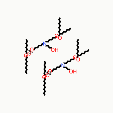 CCCCCCCCCOC(CCCCCCC)O[Si](C)(C)OCCCCCCN(CCCCO)CCCCCCOC(=O)C(CCCCCC)CCCCCCCC.CCCCCCCCCOC(CCCCCCC)O[Si](C)(C)OCCCCCCN(CCCCO)CCCCCCOC(=O)C(CCCCCC)CCCCCCCC